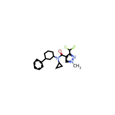 Cn1cc(C(=O)N(C2CC2)C2CCCC(c3ccccc3)C2)c(C(F)F)n1